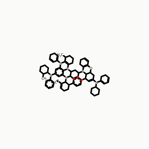 C=PC1=CCCC(c2ccccc2)C1N1c2cc(N(c3ccccc3)C3CCCCC3C)cc3c2B(C2=C(C(C)CCC2)N3C2=CCCC=C2)C2CC3B4C5=C(C=CCC5)OC5CC(N(C6=CC=CCC6)C6CCCCC6)=CC(OC3=CC21)C45